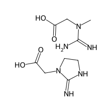 CN(CC(=O)O)C(=N)N.N=C1NCCN1CC(=O)O